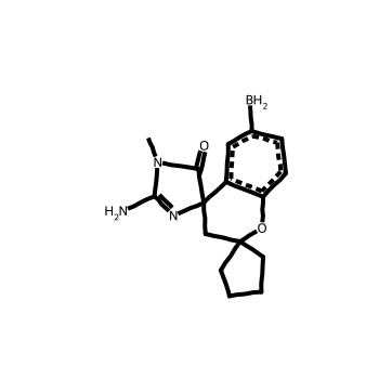 Bc1ccc2c(c1)C1(CC3(CCCC3)O2)N=C(N)N(C)C1=O